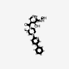 CC(C)C[C@H](C(=O)N1CCN(c2ccc(-c3ccccc3)cn2)C[C@H]1C)[C@H](O)C(=O)NO